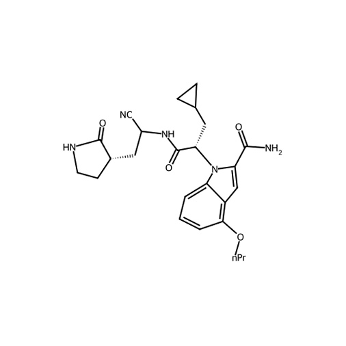 CCCOc1cccc2c1cc(C(N)=O)n2[C@@H](CC1CC1)C(=O)NC(C#N)C[C@@H]1CCNC1=O